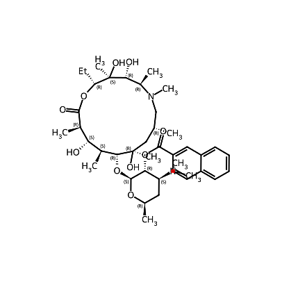 CC[C@H]1OC(=O)[C@H](C)[C@@H](O)[C@H](C)[C@@H](O[C@@H]2O[C@H](C)C[C@H](N(C)C)[C@H]2OC(=O)c2ccc3ccccc3c2)[C@](C)(O)C[C@@H](C)CN(C)[C@H](C)[C@@H](O)[C@]1(C)O